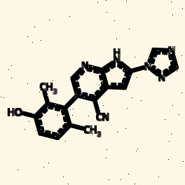 Cc1ccc(O)c(C)c1-c1cnc2[nH]c(-n3cncn3)cc2c1C#N